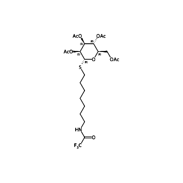 CC(=O)OC[C@H]1O[C@H](SCCCCCCCNC(=O)C(F)(F)F)[C@@H](OC(C)=O)[C@@H](OC(C)=O)[C@@H]1OC(C)=O